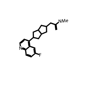 C=C(CC1CC2CC(c3ccnc4ccc(F)cc34)CC2C1)NC